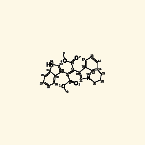 COC(=O)C(=C(C(=O)OC)c1cn2c3c(cccc13)CCC2)c1c[nH]c2ccccc12